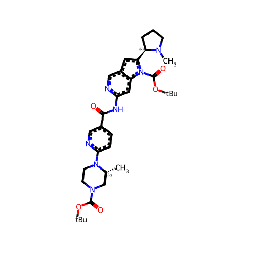 C[C@@H]1CN(C(=O)OC(C)(C)C)CCN1c1ccc(C(=O)Nc2cc3c(cn2)cc([C@H]2CCCN2C)n3C(=O)OC(C)(C)C)cn1